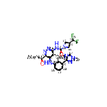 CNC(=O)c1nnc(NC(=O)N2CC(C(F)F)C2)cc1Nc1cccc(-c2ncn(C)n2)c1OC